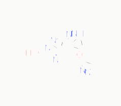 Cc1cnnc(C)c1C(C)Oc1ccc2[nH]nc(-c3cnc(N4CC(O)C4)c(C#N)c3)c2c1